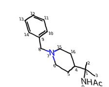 CC(=O)NC(C)(C)C1CCN(Cc2ccccc2)CC1